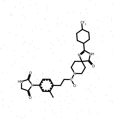 Cc1cc(N2C(=O)CNC2=O)ccc1CC[S+]([O-])N1CCC2(CC1)N=C(C1CCC(C(F)(F)F)CC1)NC2=O